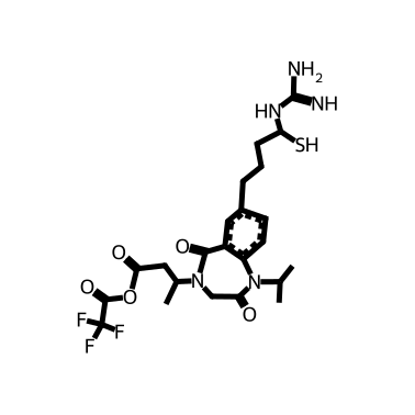 CC(CC(=O)OC(=O)C(F)(F)F)N1CC(=O)N(C(C)C)c2ccc(CCCC(S)NC(=N)N)cc2C1=O